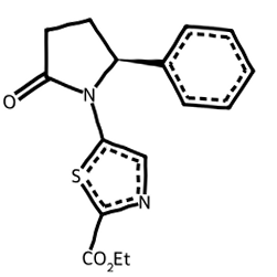 CCOC(=O)c1ncc(N2C(=O)CC[C@H]2c2ccccc2)s1